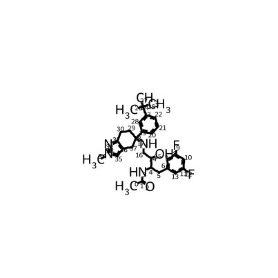 CC(=O)NC(Cc1cc(F)cc(F)c1)C(O)CNC1(c2cccc(C(C)(C)C)c2)CCc2nn(C)cc2C1